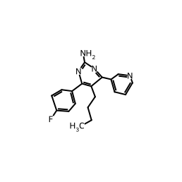 CCCCc1c(-c2ccc(F)cc2)nc(N)nc1-c1cccnc1